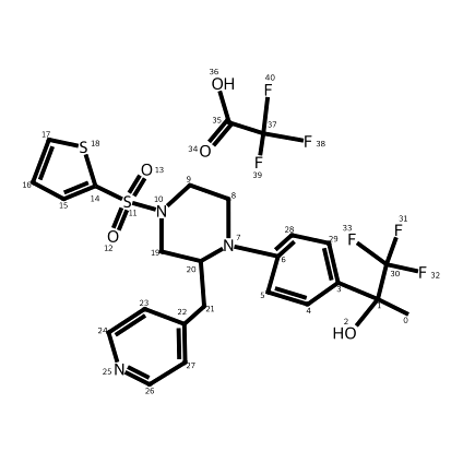 CC(O)(c1ccc(N2CCN(S(=O)(=O)c3cccs3)CC2Cc2ccncc2)cc1)C(F)(F)F.O=C(O)C(F)(F)F